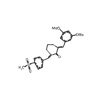 COc1cc(C=C2CCCC(=Cc3ccc(S(C)(=O)=O)cc3)C2=O)cc(OC)c1